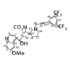 COc1ccc2nccc(C(O)CC[C@@]3(CC(=O)O)CCCN(CC#Cc4cc(C(F)(F)F)cc(C(F)(F)F)c4)C3)c2c1